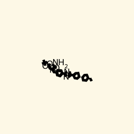 CC[C@H]1CC[C@H](C2CC=C(c3cnc(-c4ccc(CN(CC(=O)OC(C)(C)C)C(=O)CN)cc4)nc3)CC2)CC1